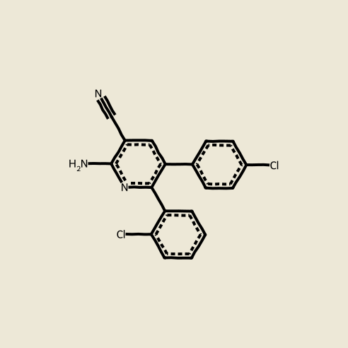 N#Cc1cc(-c2ccc(Cl)cc2)c(-c2ccccc2Cl)nc1N